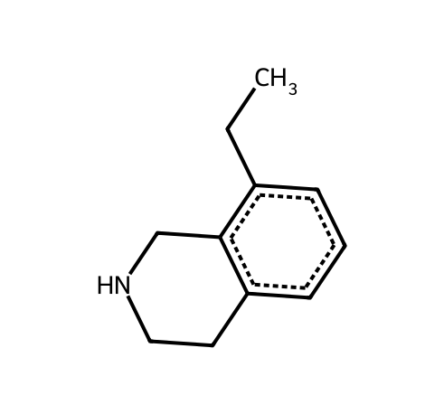 CCc1cccc2c1CNCC2